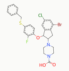 O=C(O)N1CCN(C2Cc3c(Br)cc(Cl)cc3C2Oc2ccc(SCc3ccccc3)cc2F)CC1